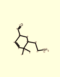 CC1(C)C=CC(C=O)CC1CCN